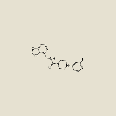 O=C(NCc1cccc2c1OCO2)N1CCN(c2ccnc(F)c2)CC1